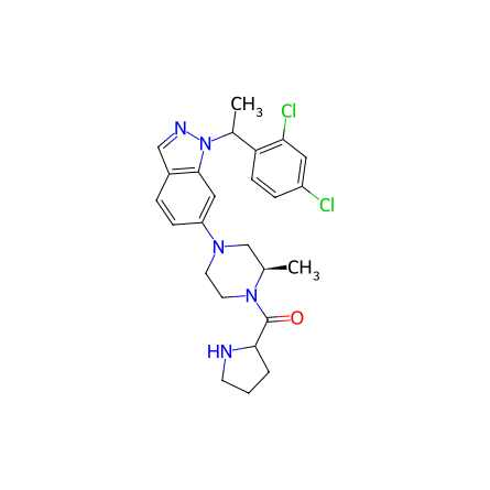 CC(c1ccc(Cl)cc1Cl)n1ncc2ccc(N3CCN(C(=O)C4CCCN4)[C@H](C)C3)cc21